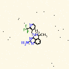 CC(C)c1cccc2nc(N)nc(NCc3cccnc3C(F)(F)F)c12